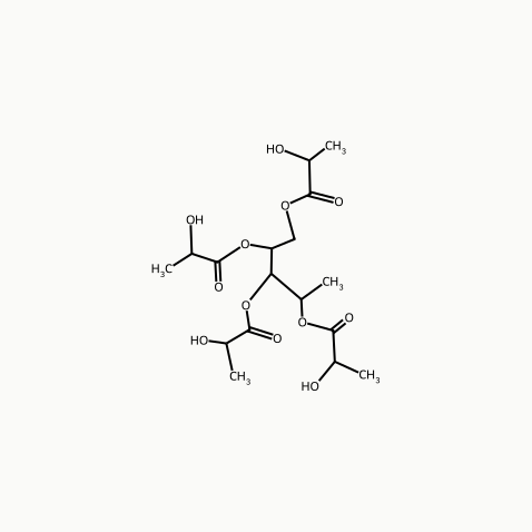 CC(O)C(=O)OCC(OC(=O)C(C)O)C(OC(=O)C(C)O)C(C)OC(=O)C(C)O